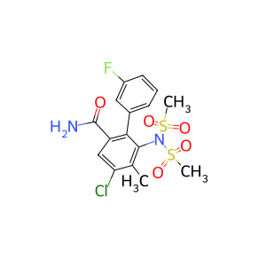 Cc1c(Cl)cc(C(N)=O)c(-c2cccc(F)c2)c1N(S(C)(=O)=O)S(C)(=O)=O